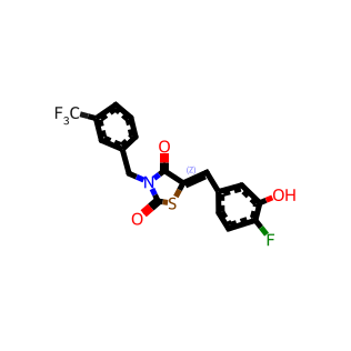 O=C1S/C(=C\c2ccc(F)c(O)c2)C(=O)N1Cc1cccc(C(F)(F)F)c1